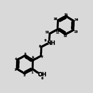 Oc1ccccc1CCNCc1ccccc1